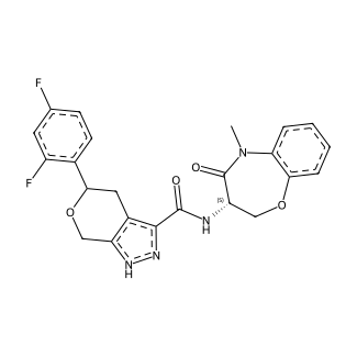 CN1C(=O)[C@@H](NC(=O)c2n[nH]c3c2CC(c2ccc(F)cc2F)OC3)COc2ccccc21